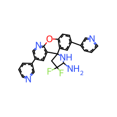 NC1NC2(CC1(F)F)c1cc(-c3cccnc3)ccc1Oc1ncc(-c3cccnc3)cc12